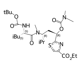 CCOC(=O)c1csc([C@@H](C[C@H](C(C)C)N(C)C(=O)[C@@H](NC(=O)OC(C)(C)C)[C@@H](C)CC)OC(=O)N(C)C)n1